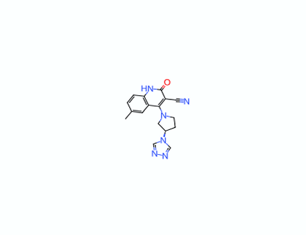 Cc1ccc2[nH]c(=O)c(C#N)c(N3CC[C@@H](n4cnnc4)C3)c2c1